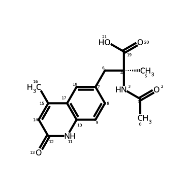 CC(=O)N[C@@](C)(Cc1ccc2[nH]c(=O)cc(C)c2c1)C(=O)O